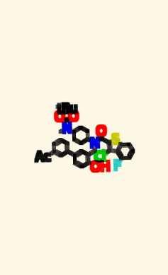 CC(=O)c1cccc(-c2ccc(O)c(CN(C(=O)c3sc4cccc(F)c4c3Cl)[C@H]3CC[C@H](N(C)C(=O)OC(C)(C)C)CC3)c2)c1